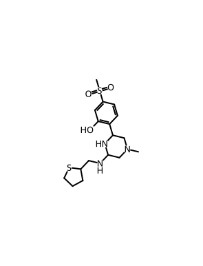 CN1CC(NCC2CCCS2)NC(c2ccc(S(C)(=O)=O)cc2O)C1